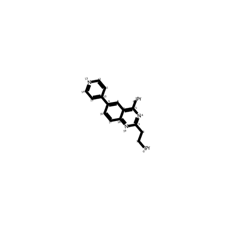 CC(C)CCc1nc(C(C)C)c2cc(-c3ccncc3)ccc2n1